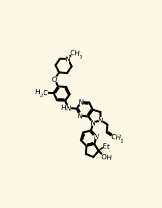 C=CCN1Cc2cnc(Nc3ccc(OC4CCN(C)CC4)c(C)c3)nc2N1c1ccc2c(n1)[C@@](O)(CC)CC2